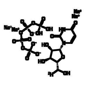 O=P([O-])([O-])OP(=O)([O-])OP(=O)([O-])OP(=O)(O)O.[2H]C(O)[C@H]1O[C@@H](n2ccc(=O)[nH]c2=O)[C@H](O)[C@@H]1O.[Na+].[Na+].[Na+].[Na+]